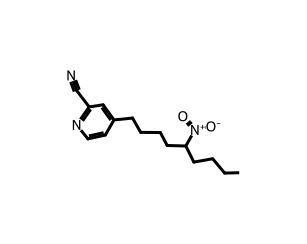 CCCCC(CCCCc1ccnc(C#N)c1)[N+](=O)[O-]